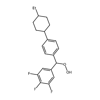 CCC1CCC(c2ccc(C(OO)c3cc(F)c(F)c(F)c3)cc2)CC1